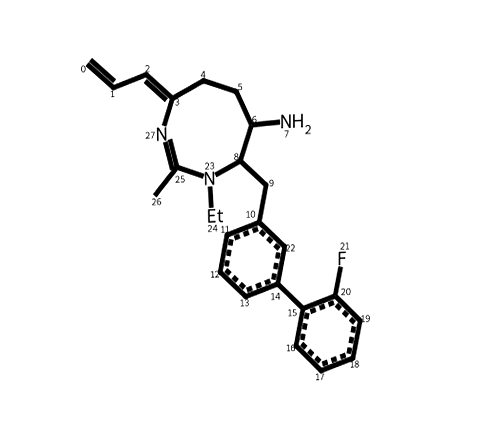 C=C/C=C1CCC(N)C(Cc2cccc(-c3ccccc3F)c2)N(CC)\C(C)=N/1